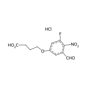 Cl.O=Cc1cc(OCCCC(=O)O)cc(F)c1[N+](=O)[O-]